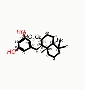 CC1(C)CCC[C@]2(C)[C@@H](Cc3cc(O)cc(O)c3)[C@@H](C(=O)O)CC[C@@H]12